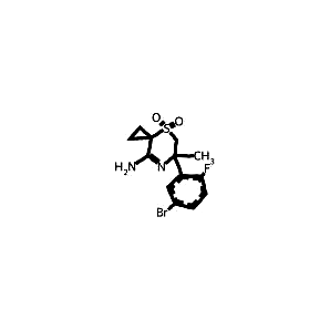 CC1(c2cc(Br)ccc2F)CS(=O)(=O)C2(CC2)C(N)=N1